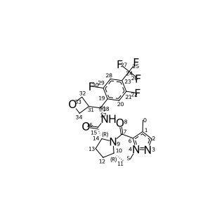 Cc1cnn(C)c1C(=O)N1[C@H](C)CC[C@@H]1C(=O)N[C@@H](c1cc(F)c(C(F)(F)F)cc1F)C1COC1